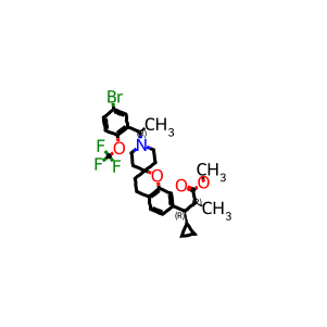 COC(=O)[C@H](C)[C@H](c1ccc2c(c1)OC1(CC2)CCN([C@H](C)c2cc(Br)ccc2OC(F)(F)F)CC1)C1CC1